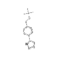 CC(C)(C)OCc1ccc(-c2csnn2)cc1